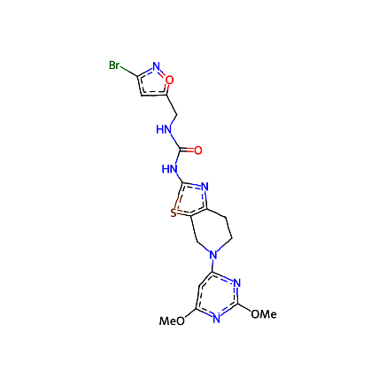 COc1cc(N2CCc3nc(NC(=O)NCc4cc(Br)no4)sc3C2)nc(OC)n1